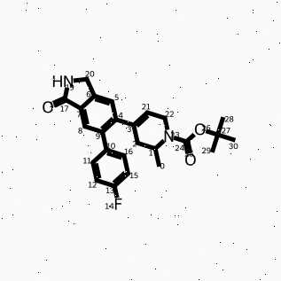 CC1CC(c2cc3c(cc2-c2ccc(F)cc2)C(=O)NC3)=CCN1C(=O)OC(C)(C)C